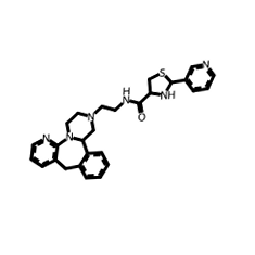 O=C(NCCN1CCN2c3ncccc3Cc3ccccc3C2C1)C1CSC(c2cccnc2)N1